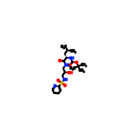 CC(C)C[C@H](NC(=O)OC(C)(C)C)C(=O)NCC(O)CNS(=O)(=O)c1ccccn1